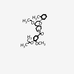 CCO[C@@H]1C[C@@H](c2ccccc2C)OC2(CCN(C(=O)c3ccc(OC(C)C)c(OC)c3)CC2)C1